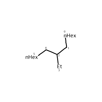 CCCCCCCC(CC)CCCCCCC